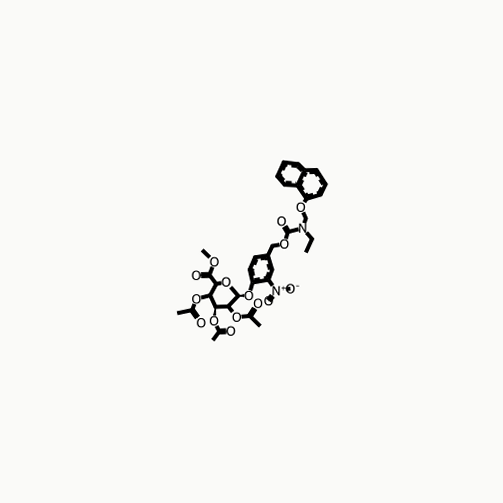 CCN(COc1cccc2ccccc12)C(=O)OCc1ccc(O[C@@H]2OC(C(=O)OC)C(OC(C)=O)[C@H](OC(C)=O)C2OC(C)=O)c([N+](=O)[O-])c1